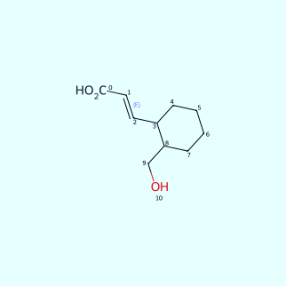 O=C(O)/C=C/C1CCCCC1CO